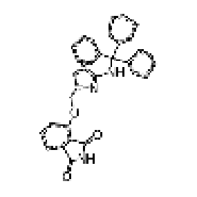 O=C1NC(=O)c2c(OCc3csc(NC(c4ccccc4)(c4ccccc4)c4ccccc4)n3)cccc21